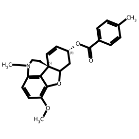 COc1ccc2c3c1OC1C[C@@H](OC(=O)c4ccc(C)cc4)C=C[C@@]31CCN2C